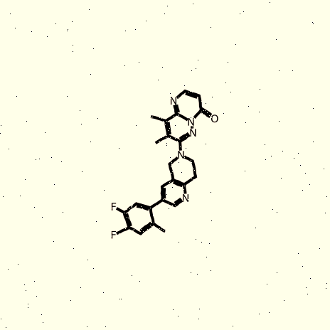 Cc1cc(F)c(F)cc1-c1cnc2c(c1)CN(c1nn3c(=O)ccnc3c(C)c1C)CC2